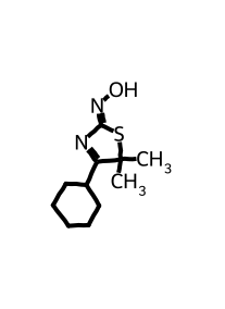 CC1(C)SC(=NO)N=C1C1CCCCC1